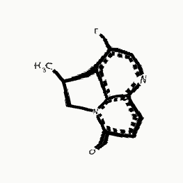 CC1Cn2c(=O)ccc3ncc(F)c1c32